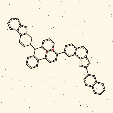 C1=CC(N(c2ccccc2)c2ccccc2-c2ccc(-c3ccc4ccc5nc(-c6ccc7ccccc7c6)oc5c4c3)cc2)Cc2oc3ccccc3c21